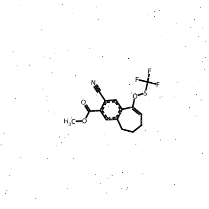 COC(=O)c1cc2c(cc1C#N)C(OSC(F)(F)F)=CCCC2